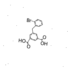 O=C(O)c1cc(Cc2ccccc2Br)cc(C(=O)O)c1